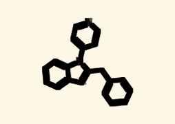 [c]1c(Cc2ccccc2)n(-c2ccncc2)c2ccccc12